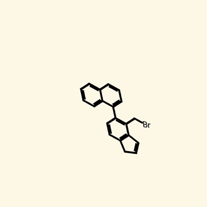 BrCc1c(-c2cccc3ccccc23)ccc2c1C=CC2